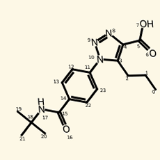 CCCc1c(C(=O)O)nnn1-c1ccc(C(=O)NC(C)(C)C)cc1